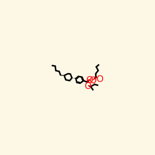 CCCCC[C@H]1CC[C@H](c2ccc(C(=O)OC(C)C(C)OC(=O)CCCC)cc2)CC1